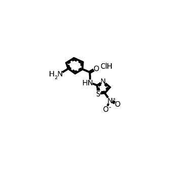 Cl.Nc1cccc(C(=O)Nc2ncc([N+](=O)[O-])s2)c1